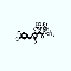 CCOC(=O)C(=O)N(C(C)C)C(C(=O)N(C)C)C1=CC(=O)N(Cc2ccc(F)c(Cl)c2)CC1